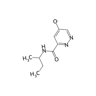 CCC(C)NC(=O)c1cc([O])cnn1